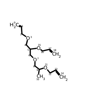 C=CCOCC(COCC(C)OCC=C)OCC=C